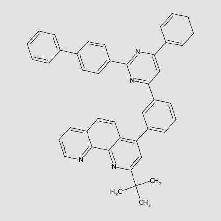 CC(C)(C)c1cc(-c2cccc(-c3cc(C4=CCCC=C4)nc(-c4ccc(-c5ccccc5)cc4)n3)c2)c2ccc3cccnc3c2n1